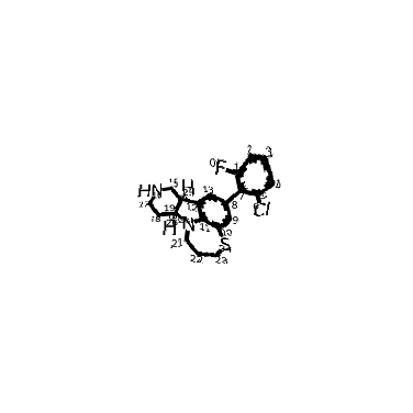 Fc1cccc(Cl)c1-c1cc2c3c(c1)[C@@H]1CNCC[C@@H]1N3CCCS2